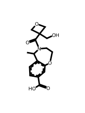 CC1c2ccc(C(=O)O)cc2OCCN1C(=O)C1(CO)COC1